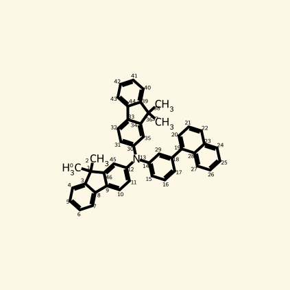 CC1(C)c2ccccc2-c2ccc(N(c3cccc(-c4cccc5ccccc45)c3)c3ccc4c(c3)C(C)(C)c3ccccc3-4)cc21